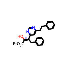 CCOC(=O)/C(O)=C(\Cc1ccccc1)c1cc(CCc2ccccc2)ncn1